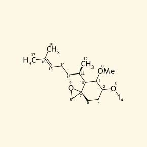 COC1C(OI)CC[C@]2(CO2)C1[C@H](C)CCC=C(C)C